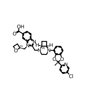 C[C@]1(c2ccc(Cl)cn2)Oc2cccc(N3CCN(Cc4nc5ccc(C(=O)O)cc5n4C[C@@H]4CCO4)[C@@H]4CC[C@H]43)c2O1